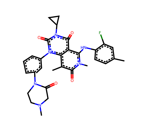 Cc1ccc(Nc2c3c(=O)n(C4CC4)c(=O)n(-c4cccc(N5CCN(C)CC5=O)c4)c3c(C)c(=O)n2C)c(F)c1